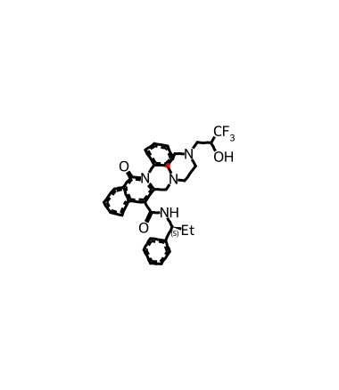 CC[C@H](NC(=O)c1c(CN2CCN(CC(O)C(F)(F)F)CC2)n(-c2ccccc2)c(=O)c2ccccc12)c1ccccc1